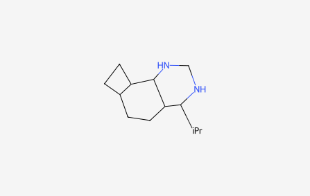 CC(C)C1NCNC2C3CCC3CCC12